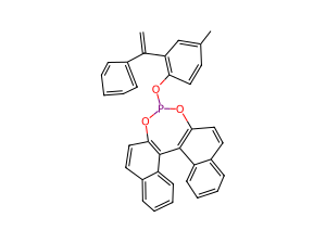 C=C(c1ccccc1)c1cc(C)ccc1Op1oc2ccc3ccccc3c2c2c(ccc3ccccc32)o1